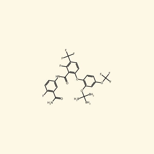 BC(B)(B)Oc1cc(OC(F)(F)F)ccc1Oc1ccc(C(F)(F)F)c(F)c1C(=O)Nc1ccc(F)c(C(N)=O)c1